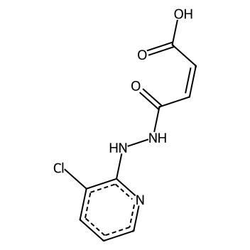 O=C(O)/C=C\C(=O)NNc1ncccc1Cl